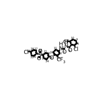 O=C(NC(=O)c1c(Cl)cccc1Cl)Nc1ccc(Oc2ccc(S(=O)(=O)c3ccc(Cl)cc3)cc2)c(C(F)(F)F)c1